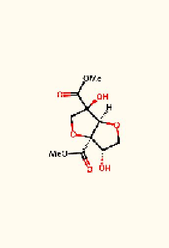 COC(=O)[C@]12OC[C@](O)(C(=O)OC)[C@H]1OC[C@@H]2O